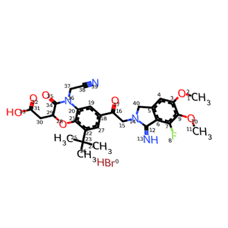 Br.COc1cc2c(c(F)c1OC)C(=N)N(CC(=O)c1cc3c(c(C(C)(C)C)c1)OC(CC(=O)O)C(=O)N3CC#N)C2